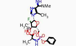 CNC(=N)c1ncn([C@@H]2O[C@H](COP(=O)(N[C@@H](C)C(=O)OC(C)C)Oc3ccccc3)[C@@H](O)[C@@]2(C)F)c1C